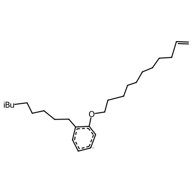 C=CCCCCCCCCCOc1c[c]ccc1CCCCCC(C)CC